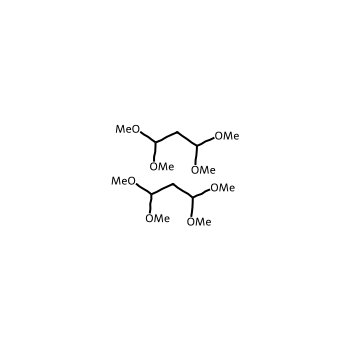 COC(CC(OC)OC)OC.COC(CC(OC)OC)OC